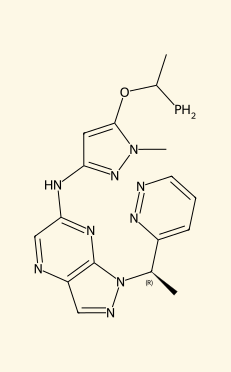 CC(P)Oc1cc(Nc2cnc3cnn([C@H](C)c4cccnn4)c3n2)nn1C